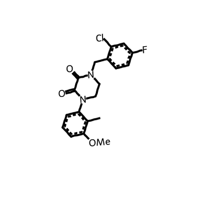 COc1cccc(N2CCN(Cc3ccc(F)cc3Cl)C(=O)C2=O)c1C